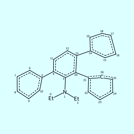 CCN(CC)c1c(-c2ccccc2)ccc(-c2ccccc2)c1-c1ccccc1